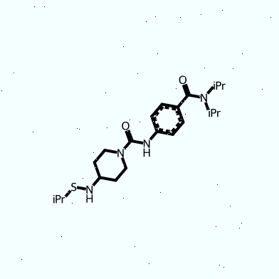 CC(C)SNC1CCN(C(=O)Nc2ccc(C(=O)N(C(C)C)C(C)C)cc2)CC1